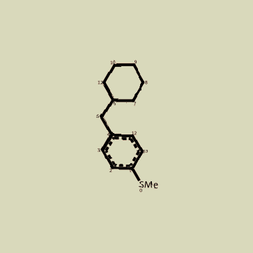 CSc1ccc(CC2CCCCC2)cc1